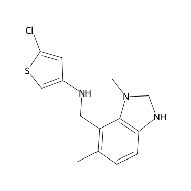 Cc1ccc2c(c1CNc1csc(Cl)c1)N(C)CN2